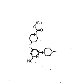 CN1CCN(c2cc(OC3CCN(C(=O)OC(C)(C)C)CC3)cc(C#N)n2)CC1